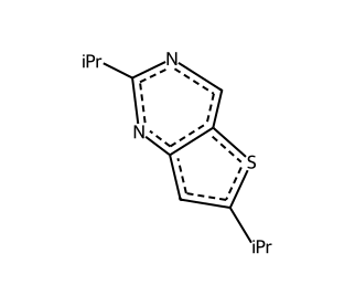 CC(C)c1ncc2sc(C(C)C)cc2n1